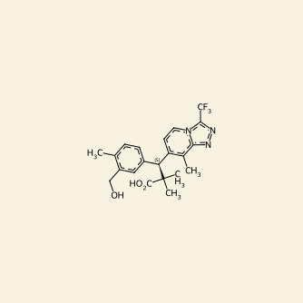 Cc1ccc([C@@H](c2ccn3c(C(F)(F)F)nnc3c2C)C(C)(C)C(=O)O)cc1CO